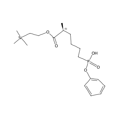 C[C@@H](CCCCP(=O)(O)Oc1ccccc1)C(=O)OCC[Si](C)(C)C